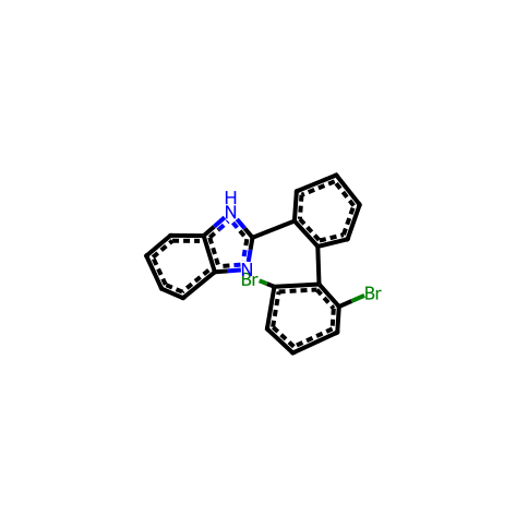 Brc1cccc(Br)c1-c1ccccc1-c1nc2ccccc2[nH]1